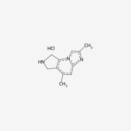 Cc1cn2c3c(c(C)cc2n1)CNC3.Cl